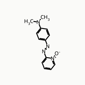 CN(C)c1ccc(N=Nc2cccc[n+]2[O-])cc1